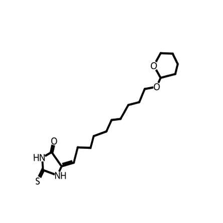 O=C1NC(=S)N/C1=C/CCCCCCCCCOC1CCCCO1